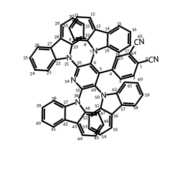 N#Cc1ccc(-c2c(-n3c4ccccc4c4ccccc43)c(-n3c4ccccc4c4ccccc43)nc(-n3c4ccccc4c4ccccc43)c2-n2c3ccccc3c3ccccc32)cc1C#N